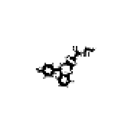 CC(C)CNC(=O)c1nc2c(s1)N=C(c1ccc(F)cc1)c1ccccc1S2